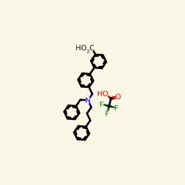 O=C(O)C(F)(F)F.O=C(O)c1cccc(-c2cccc(CN(CCCc3ccccc3)Cc3ccccc3)c2)c1